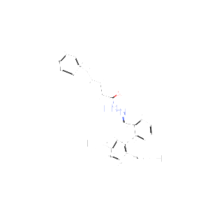 O=C(CCCCc1ccccc1)NN=Cc1ccccc1-c1cc(C(F)(F)F)ccc1S(=O)(=O)O